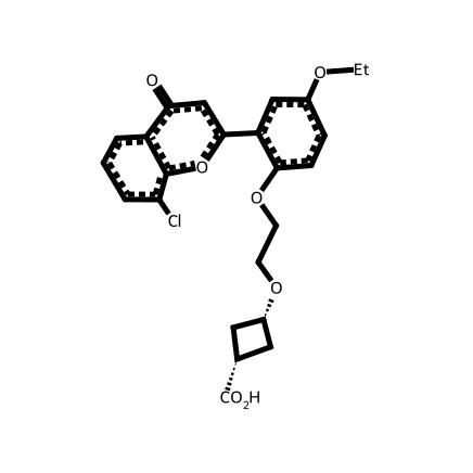 CCOc1ccc(OCCO[C@H]2C[C@@H](C(=O)O)C2)c(-c2cc(=O)c3cccc(Cl)c3o2)c1